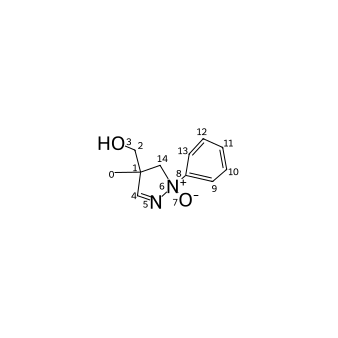 CC1(CO)C=N[N+]([O-])(c2ccccc2)C1